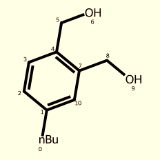 CCCCc1ccc(CO)c(CO)c1